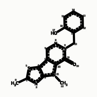 Cc1nc2c(s1)c1cnn(Cc3ccccc3O)c(=O)c1n2C